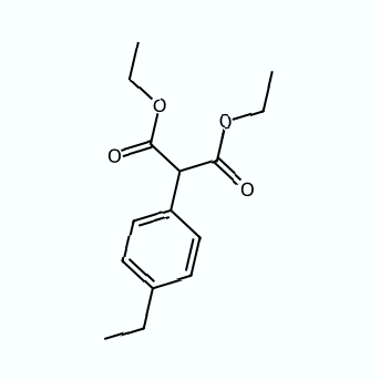 CCOC(=O)C(C(=O)OCC)c1ccc(CC)cc1